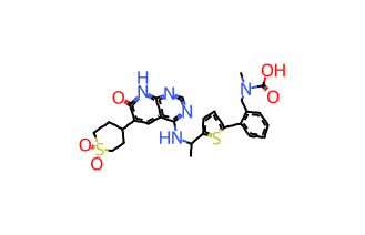 CC(Nc1ncnc2[nH]c(=O)c(C3CCS(=O)(=O)CC3)cc12)c1ccc(-c2ccccc2CN(C)C(=O)O)s1